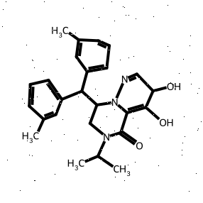 Cc1cccc(C(c2cccc(C)c2)C2CN(C(C)C)C(=O)C3=C(O)C(O)C=NN32)c1